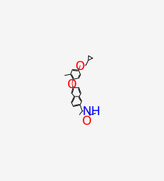 CC(=O)NC(C)c1ccc2cc(Oc3ccc(OCC4CC4)cc3C)ccc2c1